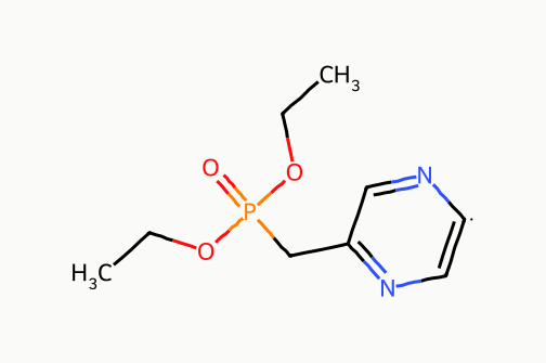 CCOP(=O)(Cc1cn[c]cn1)OCC